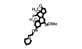 CON=C1CC2C(C(F)C[C@]3(C)C(=O)CCC23)[C@@]2(C)CCC(=NOCCN3CCCCC3)CC12